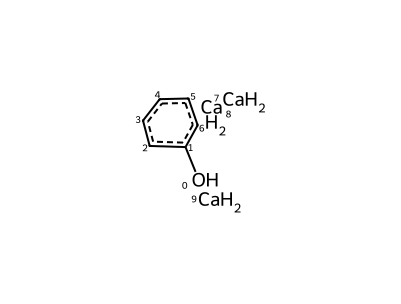 Oc1ccccc1.[CaH2].[CaH2].[CaH2]